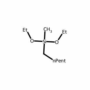 [CH2]CCCCC[Si](C)(OCC)OCC